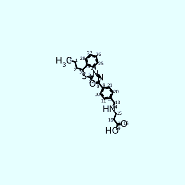 CCCC(Sc1nnc(-c2ccc(CNCCC(=O)O)cc2)o1)c1ccccc1